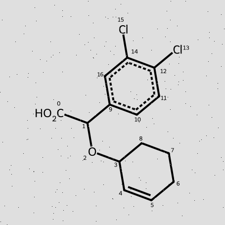 O=C(O)C(OC1C=CCCC1)c1ccc(Cl)c(Cl)c1